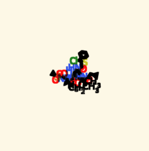 C=CC1CC1(NC(=O)[C@@H]1C[C@@H](NC(=O)c2sc3ccccc3c2Cl)CN1C(=O)[C@@H](NC(=O)CC1CC1)C(C)(C)C)C(=O)NS(=O)(=O)C1CC1